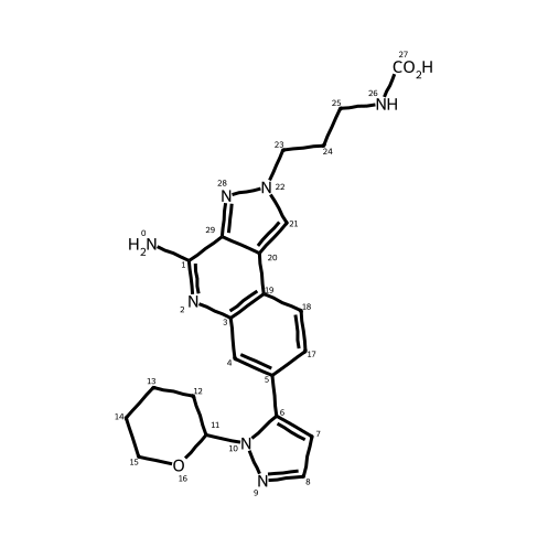 Nc1nc2cc(-c3ccnn3C3CCCCO3)ccc2c2cn(CCCNC(=O)O)nc12